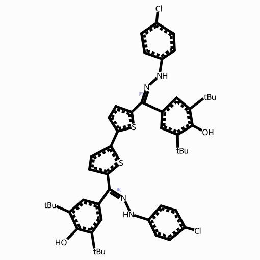 CC(C)(C)c1cc(/C(=N\Nc2ccc(Cl)cc2)c2ccc(-c3ccc(/C(=N/Nc4ccc(Cl)cc4)c4cc(C(C)(C)C)c(O)c(C(C)(C)C)c4)s3)s2)cc(C(C)(C)C)c1O